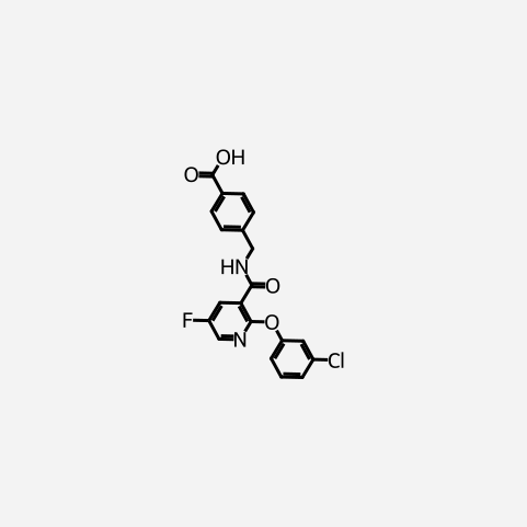 O=C(O)c1ccc(CNC(=O)c2cc(F)cnc2Oc2cccc(Cl)c2)cc1